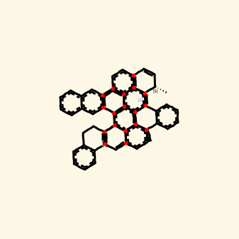 C=C(C1=c2ccccc2=C(c2cc3ccccc3cc2-c2ccccc2)C2C=CC=CC12)c1ccccc1/C(=C1/C=CC=C[C@@H]1C)c1c2c(c(C3=Nc4ccccc4CC3)c3ccccc13)C=C=C=C2